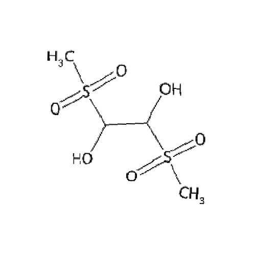 CS(=O)(=O)C(O)C(O)S(C)(=O)=O